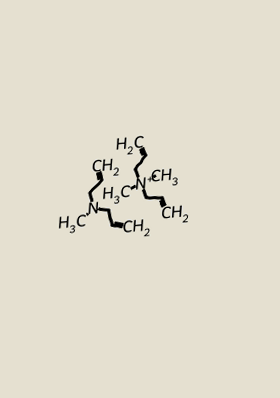 C=CCN(C)CC=C.C=CC[N+](C)(C)CC=C